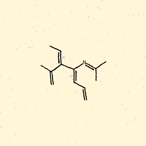 C=C/C=C(N=C(C)C)/C(=C/C)C(=C)C